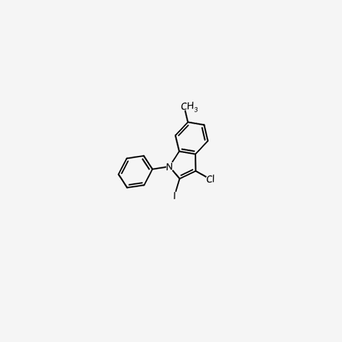 Cc1ccc2c(Cl)c(I)n(-c3ccccc3)c2c1